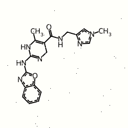 CC1=C(C(=O)NCc2cn(C)cn2)CN=C(Nc2nc3ccccc3o2)N1